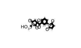 O=C1C=CC(=O)N1c1cccc(C(=O)C2(O)CC(=O)N(S(=O)(=O)O)C2=O)c1